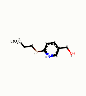 CCOC(=O)CCSc1ccc(CO)cn1